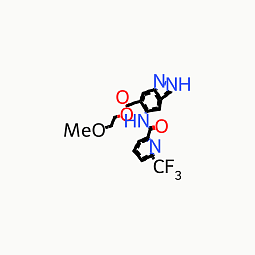 COCCOC(=O)c1cc2n[nH]cc2cc1NC(=O)c1cccc(C(F)(F)F)n1